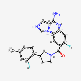 Nc1nc2cc(F)c(C(=O)N3CCC(c4ccc(C(F)(F)F)cc4F)C3)cc2n2cncc12